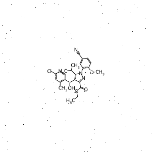 CCOC(=O)c1nn(-c2cc(C#N)ccc2OC)c(C(C)C)c1C(O)c1ccc(Cl)cc1C